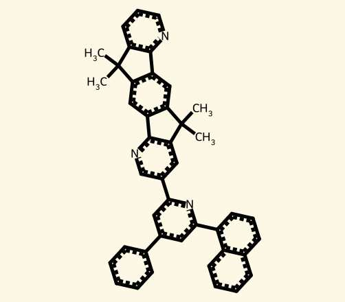 CC1(C)c2cc3c(cc2-c2ncccc21)C(C)(C)c1cc(-c2cc(-c4ccccc4)cc(-c4cccc5ccccc45)n2)cnc1-3